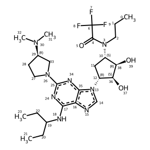 CCCN(C(=O)C(F)(F)F)[C@H]1C[C@@H](n2cnc3c(NC(CC)CC)nc(N4CC[C@@H](N(C)C)C4)nc32)[C@H](O)[C@@H]1O